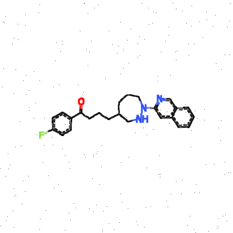 O=C(CCCC1CCCN(c2cc3ccccc3cn2)NC1)c1ccc(F)cc1